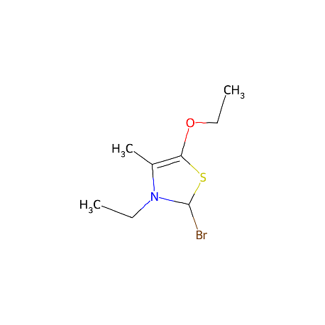 CCOC1=C(C)N(CC)C(Br)S1